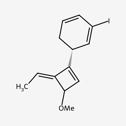 C/C=C1/C([C@H]2C=C(I)C=CC2)=CC1OC